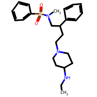 CCNC1CCN(CCC(CN(C)S(=O)(=O)c2ccccc2)c2ccccc2)CC1